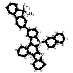 CC1(C)c2ccccc2-c2ccc(-c3ccc4c(c3)c3c5ccccc5c5c6ccccc6sc5c3n4-c3ccc4ccccc4c3)cc21